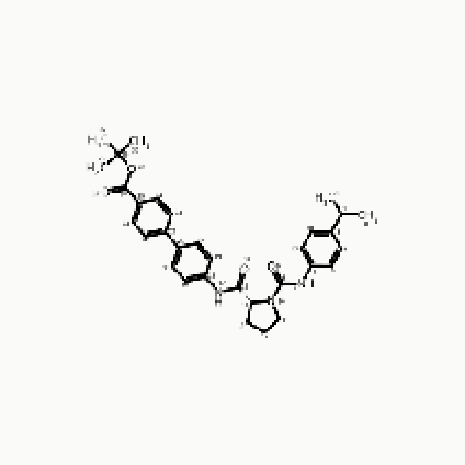 CC(C)c1ccc(NC(=O)N2CCC[C@@H]2C(=O)Nc2ccc(-c3ccc(C(=O)OC(C)(C)C)cc3)cc2)cc1